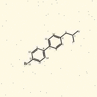 CC(C)Cc1ccc(-c2ccc(Br)cc2)cc1